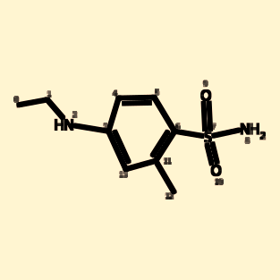 CCNc1ccc(S(N)(=O)=O)c(C)c1